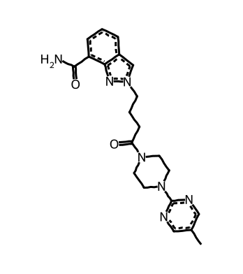 Cc1cnc(N2CCN(C(=O)CCCn3cc4cccc(C(N)=O)c4n3)CC2)nc1